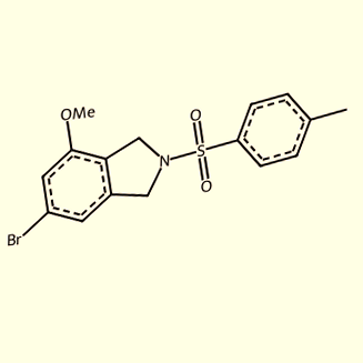 COc1cc(Br)cc2c1CN(S(=O)(=O)c1ccc(C)cc1)C2